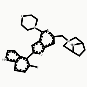 Fc1ccc2[nH]ccc2c1-c1cc2c(N3CCOCC3)nc(CN3CC4CCC(C3)N4)cc2s1